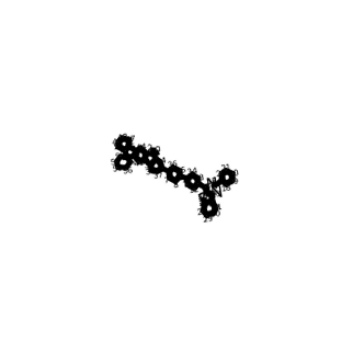 CC1(C)c2cc(-c3ccc(-c4ccc(-c5nc(-c6ccccc6)nc6c5sc5ccccc56)cc4)cc3)ccc2-c2cc3c(cc21)-c1ccccc1C31CCCCC1